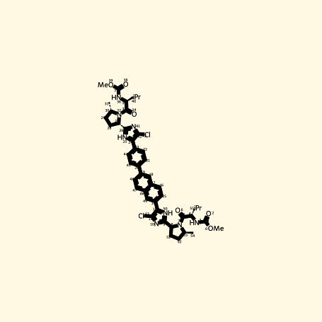 COC(=O)N[C@H](C(=O)N1C(c2nc(Cl)c(-c3ccc4cc(-c5ccc(-c6[nH]c([C@@H]7CC[C@H](C)N7C(=O)[C@@H](NC(=O)OC)C(C)C)nc6Cl)cc5)ccc4c3)[nH]2)CC[C@@H]1C)C(C)C